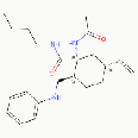 C=C[C@@H]1CC[C@@H](CNc2ccccc2)[C@@](NC(C)=O)(C(=O)NCCCC)C1